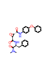 CN(C)C(=O)[C@H](Cc1ccccc1)NC(=O)[C@H]1O[C@@H]1C(=O)Nc1ccc(Oc2ccccc2)cc1